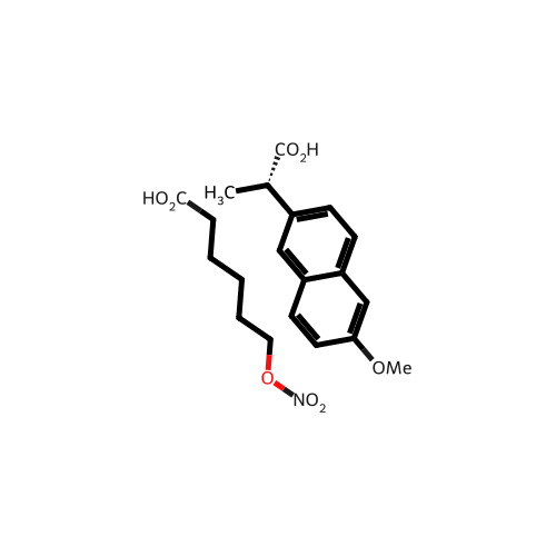 COc1ccc2cc([C@H](C)C(=O)O)ccc2c1.O=C(O)CCCCCO[N+](=O)[O-]